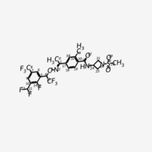 C/C(=N\OC(c1cc(C(F)(F)F)cc(C(F)F)c1F)C(F)(F)F)c1ccc(C(=O)NC2CN(S(C)(=O)=O)C2)c(C)c1